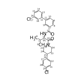 CC(C)[C@@H](NC(=O)c1cccc(-c2cccc(Cl)c2)c1)C(=O)N1CCC(c2ccc(Cl)cc2)CC1